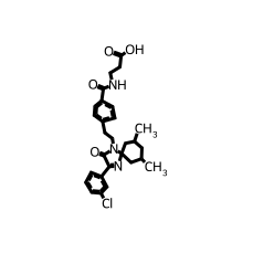 CC1CC(C)CC2(C1)N=C(c1cccc(Cl)c1)C(=O)N2CCc1ccc(C(=O)NCCC(=O)O)cc1